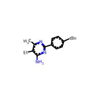 CCc1c(C)nc(-c2ccc(C(C)(C)C)cc2)nc1N